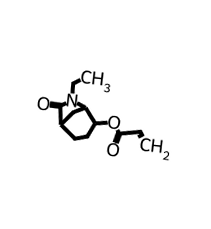 C=CC(=O)OC1CCC2CC1N(CC)C2=O